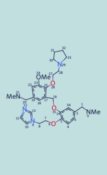 CNCc1ccc(OCCn2ccnc2)c(OCc2cc(CNC)cc(OC)c2OCCN2CCCC2)c1